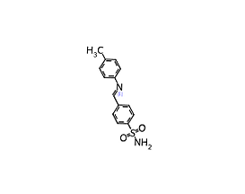 Cc1ccc(/N=C/c2ccc(S(N)(=O)=O)cc2)cc1